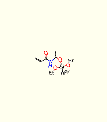 C=CC(=O)NC(C)O[Si](CCC)(OCC)OCC